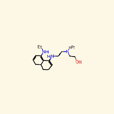 CCCN(CCO)CCNC1=CCCC2CC=CC(NCC)=C12